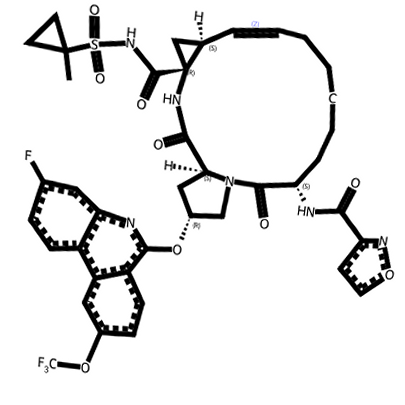 CC1(S(=O)(=O)NC(=O)[C@@]23C[C@H]2/C=C\CCCCC[C@H](NC(=O)c2ccon2)C(=O)N2C[C@H](Oc4nc5cc(F)ccc5c5cc(OC(F)(F)F)ccc45)C[C@H]2C(=O)N3)CC1